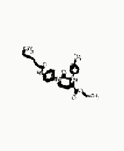 CCCCC(=O)Nc1ccc(N2CCc3c(C(=O)OCC)nn(-c4ccc(O)cc4)c3C2=O)cc1